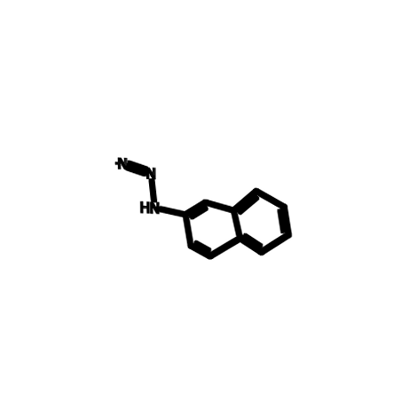 [N]=NNc1ccc2ccccc2c1